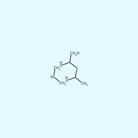 CC(S)SC(O)C(=O)O.[CH3][Sn][CH3]